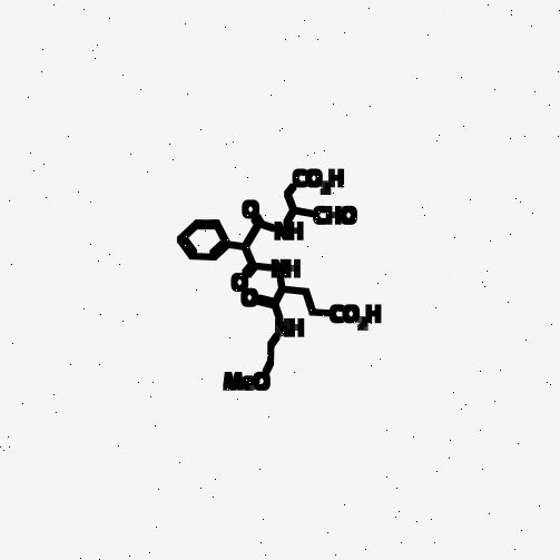 COCCNC(=O)C(CCC(=O)O)NC(=O)C(C(=O)NC(C=O)CC(=O)O)c1ccccc1